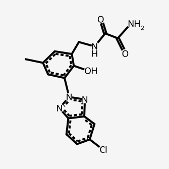 Cc1cc(CNC(=O)C(N)=O)c(O)c(-n2nc3ccc(Cl)cc3n2)c1